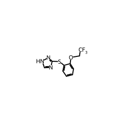 FC(F)(F)COc1ccccc1Sc1nc[nH]n1